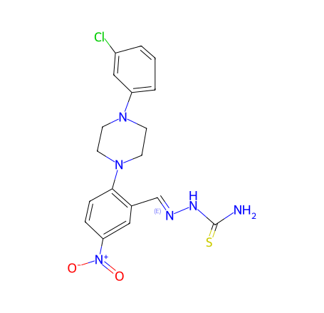 NC(=S)N/N=C/c1cc([N+](=O)[O-])ccc1N1CCN(c2cccc(Cl)c2)CC1